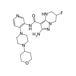 Nc1nn2c(c1C(=O)Nc1cnccc1N1CCN(C3CCOCC3)CC1)NCC(F)C2